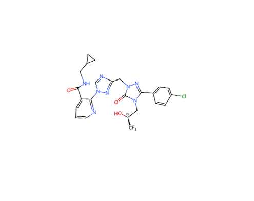 O=C(NCC1CC1)c1cccnc1-n1cnc(Cn2nc(-c3ccc(Cl)cc3)n(C[C@H](O)C(F)(F)F)c2=O)n1